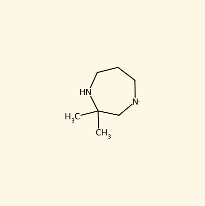 CC1(C)C[N]CCCN1